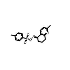 Cc1ccc(S(=O)(=O)ON=C2CCCc3nc(C)ccc32)cc1